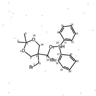 CC1(C)OCC(CBr)(C(O[SiH](c2ccccc2)c2ccccc2)C(C)(C)C)CO1